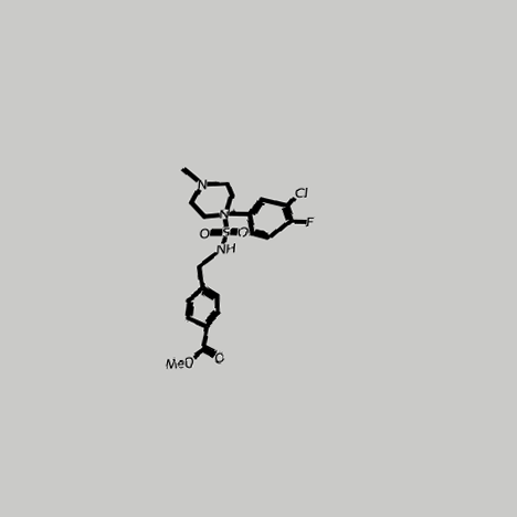 COC(=O)c1ccc(CNS(=O)(=O)[N+]2(c3ccc(F)c(Cl)c3)CCN(C)CC2)cc1